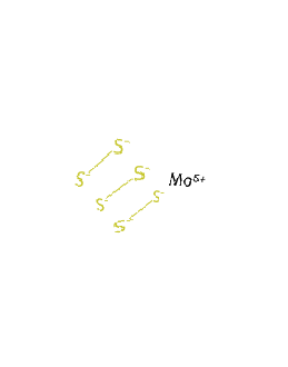 [Mo+6].[S-][S-].[S-][S-].[S-][S-]